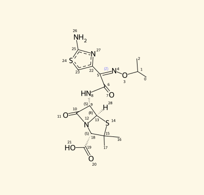 CC(C)O/N=C(\C(=O)N[C@H]1C(=O)N2[C@@H]1SC(C)(C)[C@@H]2C(=O)O)c1csc(N)n1